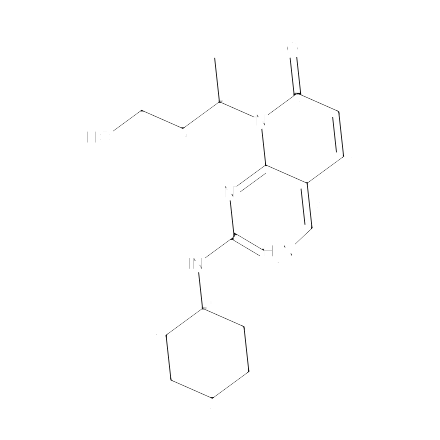 C=C(/N=C1\C(=C/N)C=CC(=O)N1C(C)CCO)NC1CCCCC1